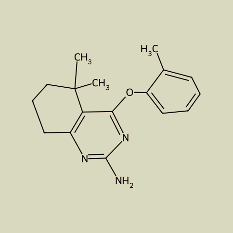 Cc1ccccc1Oc1nc(N)nc2c1C(C)(C)CCC2